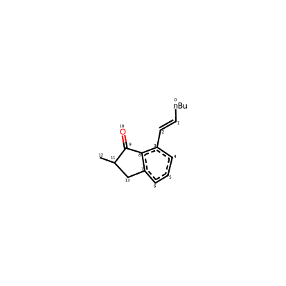 CCCC/C=C/c1cccc2c1C(=O)C(C)C2